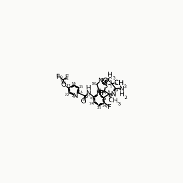 CC1(C)C(N)=N[C@](C)(c2nc(NC(=O)c3ccc(OC(F)F)cn3)ccc2F)[C@H]2CCN=[S@]21=O